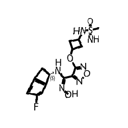 CS(=N)(=O)NC1CC(Oc2nonc2C(=NO)N[C@H]2Cc3ccc(F)cc32)C1